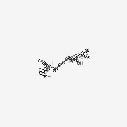 COc1cc(-c2scnc2C)ccc1[C@H](C)NC(=O)C1CC(O)CN1C(=O)[C@H](c1cc(OCCOCCOCCN(C)C(=O)CCNc2nc(N3CCN(C(C)=O)CC3)c3cc(Cl)c(-c4cc(O)cc5ccccc45)c(F)c3n2)no1)C(C)C